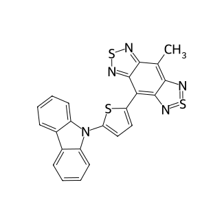 Cc1c2c(c(-c3ccc(-n4c5ccccc5c5ccccc54)s3)c3nsnc13)N=S=N2